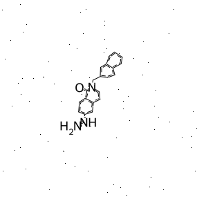 NNc1ccc2c(=O)n(Cc3ccc4ccccc4c3)ccc2c1